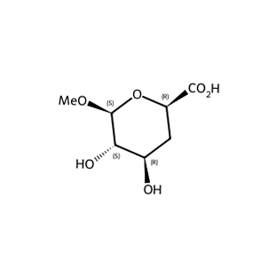 CO[C@H]1O[C@@H](C(=O)O)C[C@@H](O)[C@@H]1O